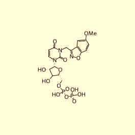 COc1ccc2onc(Cn3c(=O)ccn([C@@H]4O[C@H](COP(=O)(O)OP(=O)(O)O)C(O)[C@@H]4O)c3=O)c2c1